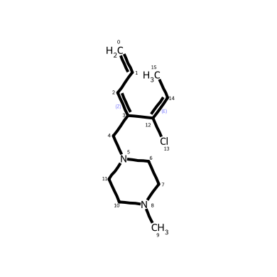 C=C/C=C(CN1CCN(C)CC1)\C(Cl)=C/C